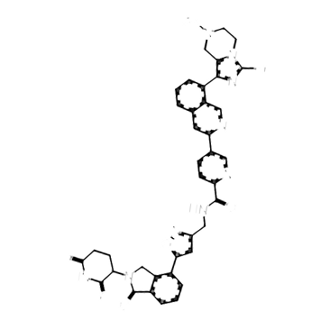 CCc1nc(-c2cccc3cc(-c4ccc(C(=O)NCc5cc(-c6cccc7c6CN(C6CCC(=O)NC6=O)C7=O)on5)nc4)ncc23)c2n1CCN(C(C)=O)C2